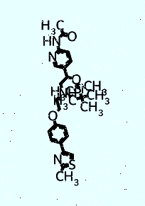 CC(=O)Nc1ccc(C(CNCCOc2ccc(-c3csc(C)n3)cc2)O[Si](C)(C)C(C)(C)C)cn1